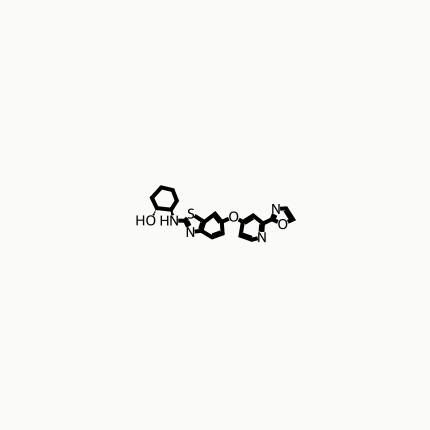 O[C@@H]1CCCC[C@H]1Nc1nc2ccc(Oc3ccnc(-c4ncco4)c3)cc2s1